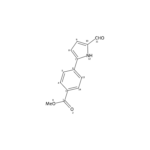 COC(=O)c1ccc(-c2ccc(C=O)[nH]2)cc1